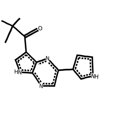 CC(C)(C)C(=O)c1c[nH]c2ncc(-c3cc[nH]c3)nc12